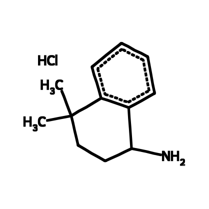 CC1(C)CCC(N)c2ccccc21.Cl